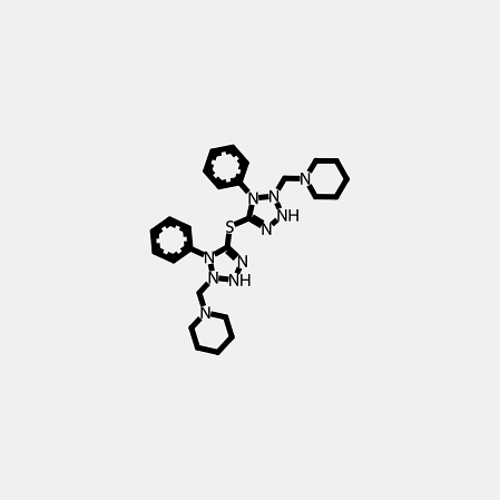 c1ccc(N2C(SC3=NNN(CN4CCCCC4)N3c3ccccc3)=NNN2CN2CCCCC2)cc1